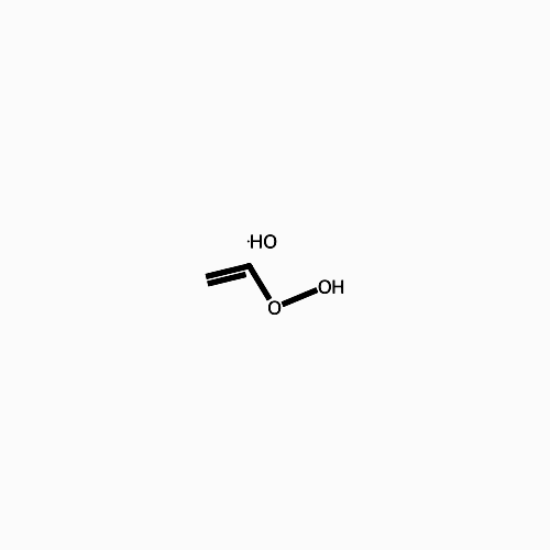 C=COO.[OH]